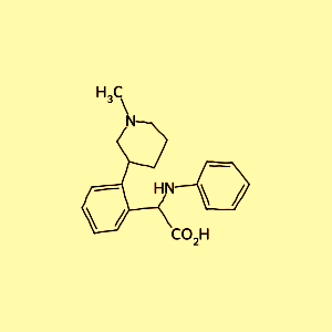 CN1CCCC(c2ccccc2C(Nc2ccccc2)C(=O)O)C1